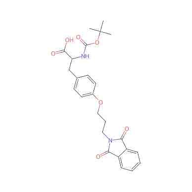 CC(C)(C)OC(=O)NC(Cc1ccc(OCCCN2C(=O)c3ccccc3C2=O)cc1)C(=O)O